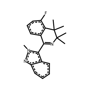 Cn1nc2ccccc2c1C1=NC(C)(C)C(C)(C)c2c(F)cccc21